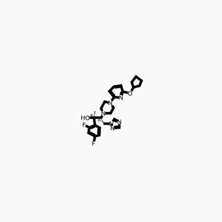 C[C@@](O)(c1ccc(F)cc1F)[C@@H](Cn1cncn1)N1CCN(c2cccc(OC3CCCC3)n2)CC1